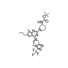 CCCc1cc2c(N3CCn4c(nnc4C(F)(F)F)C3)nc(N3CCCC(NC(=O)OC(C)(C)C)C3)nc2s1